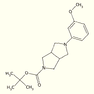 COc1cccc(N2CC3CN(C(=O)OC(C)(C)C)CC3C2)c1